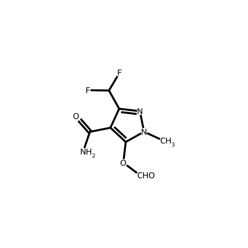 Cn1nc(C(F)F)c(C(N)=O)c1OC=O